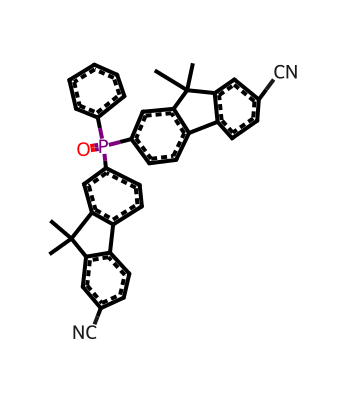 CC1(C)c2cc(C#N)ccc2-c2ccc(P(=O)(c3ccccc3)c3ccc4c(c3)C(C)(C)c3cc(C#N)ccc3-4)cc21